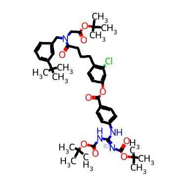 CC(C)(C)OC(=O)CN(Cc1cccc(C(C)(C)C)c1)C(=O)CCCc1ccc(OC(=O)c2ccc(N/C(=N\C(=O)OC(C)(C)C)NC(=O)OC(C)(C)C)cc2)cc1Cl